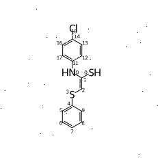 S/C(=C/Sc1ccccc1)Nc1ccc(Cl)cc1